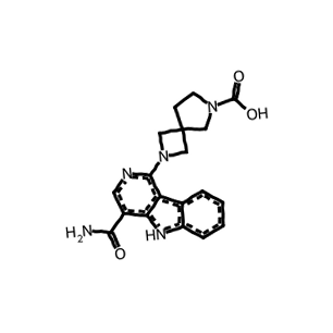 NC(=O)c1cnc(N2CC3(CCN(C(=O)O)C3)C2)c2c1[nH]c1ccccc12